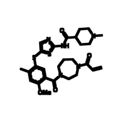 C=CC(=O)N1CCCN(C(=O)c2cc(Sc3cnc(NC(=O)C4CCN(C)CC4)s3)c(C)cc2OC)CC1